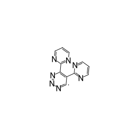 [c]1nnnc(-c2ncccn2)c1-c1ncccn1